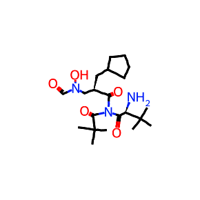 CC(C)(C)C(=O)N(C(=O)[C@H](CC1CCCC1)CN(O)C=O)C(=O)[C@@H](N)C(C)(C)C